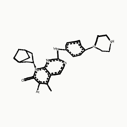 CC(=O)c1c(C)c2cnc(Nc3ccc(N4CCNCC4)cc3)nc2n([C@@H]2CC3CCC2C3)c1=O